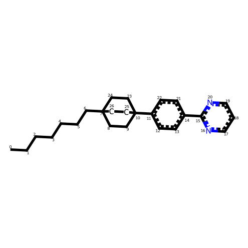 CCCCCCCC12CCC(c3ccc(-c4nc[c]cn4)cc3)(CC1)CC2